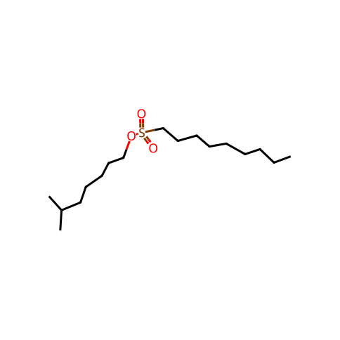 CCCCCCCCCS(=O)(=O)OCCCCCC(C)C